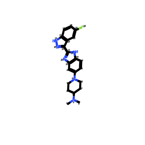 CN(C)C1CCN(c2ccc3[nH]c(-c4n[nH]c5ccc(F)cc45)nc3c2)CC1